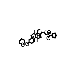 C[C@H](CS(=O)(=O)c1ccccc1)[C@H]1CC[C@H]2[C@@H]3CC=C4CC(OC5CCCCO5)CC[C@]4(C)[C@H]3CC[C@]12C